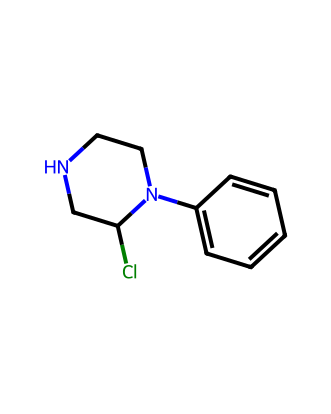 ClC1CNCCN1c1ccccc1